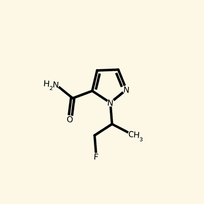 CC(CF)n1nccc1C(N)=O